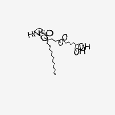 CCCCCCCCCCCCC(CCCOC(=O)CCCCC(CO)CO)OC(=O)[C@@H]1CCCN1